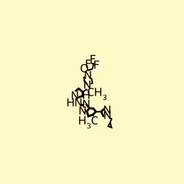 Cc1cc2nc(Nc3cc(C(C)N4CCN(C(=O)CC(F)(F)F)CC4)ccn3)[nH]c2cc1-c1cnn(CC2CC2)c1